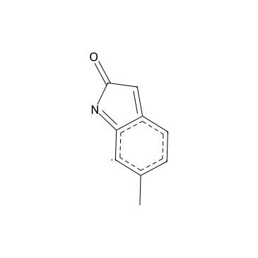 Cc1[c]c2c(cc1)=CC(=O)N=2